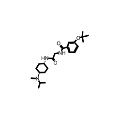 CC(C)N(C)[C@H]1CC[C@H](NC(=O)CNC(=O)c2cccc(OC(C)(C)C)c2)CC1